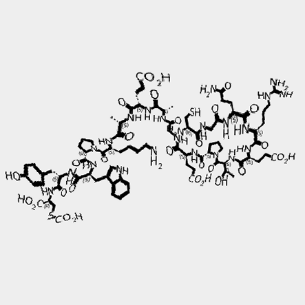 C[C@H](NC(=O)CNC(=O)[C@H](CCC(=O)O)NC(=O)[C@@H]1CCCN1C(=O)[C@@H](NC(=O)[C@H](CCC(=O)O)NC(=O)[C@H](CCCNC(=N)N)NC(=O)[C@H](CCC(N)=O)NC(=O)CNC(=O)[C@@H](N)CS)[C@@H](C)O)C(=O)N[C@@H](CCC(=O)O)C(=O)N[C@@H](C)C(=O)N[C@@H](CCCCN)C(=O)N1CCC[C@H]1C(=O)N[C@@H](Cc1c[nH]c2ccccc12)C(=O)N[C@@H](Cc1ccc(O)cc1)C(=O)N[C@@H](CSC(=O)O)C(=O)O